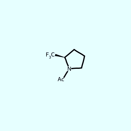 CC(=O)N1CCC[C@@H]1C(F)(F)F